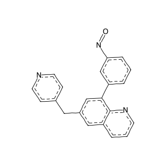 O=Nc1cccc(-c2cc(Cc3ccncc3)cc3cccnc23)c1